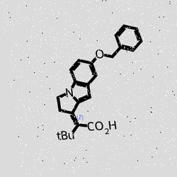 CC(C)(C)/C(C(=O)O)=C1\CCn2c1cc1cc(OCc3ccccc3)ccc12